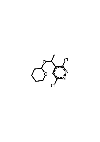 CC(OC1CCCCO1)c1cc(Cl)nnc1Cl